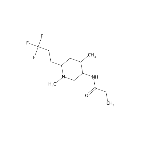 CCC(=O)NC1CN(C)C(CCC(F)(F)F)CC1C